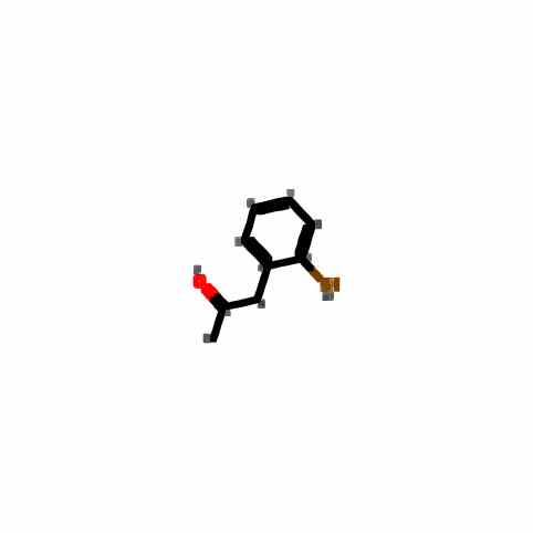 CC(=O)Cc1ccccc1S